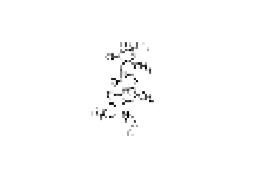 C=C(Cl)/C=C(\C(Cl)=C1/CCCN(Cc2c(C)cc(C)[nH]c2=O)C1=O)C(C(=O)OC)N1CC[C@@H](F)C1